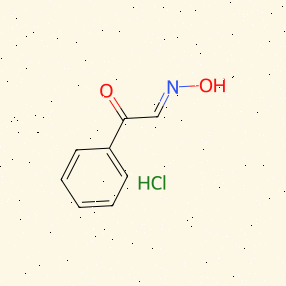 Cl.O=C(C=NO)c1ccccc1